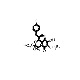 CCOC(=O)c1c(O)c2ncc(Cc3ccc(F)cc3)c3c2n(c1=O)C[C@@](C)(C(=O)O)O3